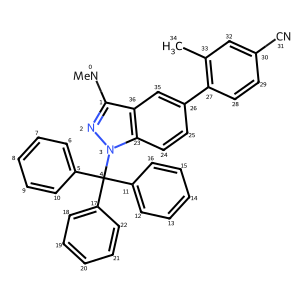 CNc1nn(C(c2ccccc2)(c2ccccc2)c2ccccc2)c2ccc(-c3ccc(C#N)cc3C)cc12